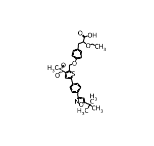 CCOC(Cc1ccc(OCc2sc(-c3ccc(-c4cc(C(C)(C)C)on4)cc3)cc2S(C)(=O)=O)cc1)C(=O)O